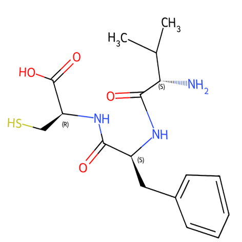 CC(C)[C@H](N)C(=O)N[C@@H](Cc1ccccc1)C(=O)N[C@@H](CS)C(=O)O